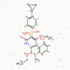 CCOCc1[nH]c(=O)c(S(=O)(=O)c2ccc(C3CC3)cc2)c(O)c1-c1c(OC)cccc1OC